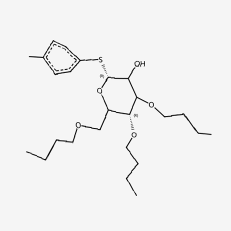 CCCCOCC1O[C@H](Sc2ccc(C)cc2)C(O)C(OCCCC)[C@@H]1OCCCC